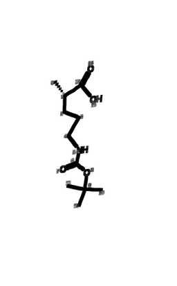 C[C@@H](CCCNC(=O)OC(C)(C)C)C(=O)O